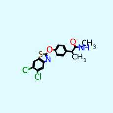 CNC(=O)C(C)c1ccc(Oc2nc3cc(Cl)c(Cl)cc3s2)cc1